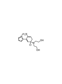 Cn1cccc1C1=CC(Cl)(N(CCO)CCO)CC=C1N